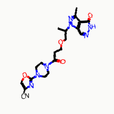 Cc1nn(C(C)COCCC(=O)N2CCN(c3nc(C#N)co3)CC2)c2cn[nH]c(=O)c12